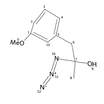 COc1cccc(CC(C)(O)N=[N+]=[N-])c1